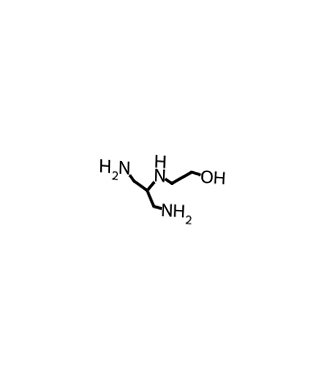 NCC(CN)NCCO